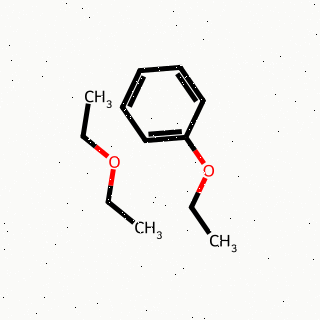 CCOCC.CCOc1ccccc1